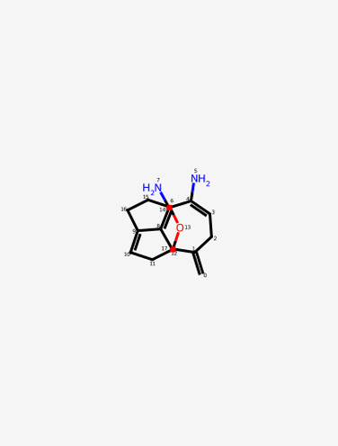 C=C1CC=C(N)C(N)=C(/C2=C\CCOCCC2)C1